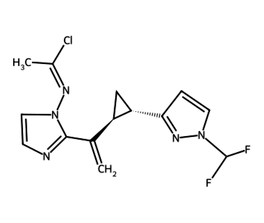 C=C(c1nccn1/N=C(\C)Cl)[C@H]1C[C@@H]1c1ccn(C(F)F)n1